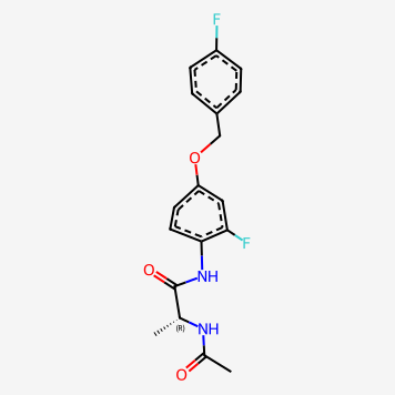 CC(=O)N[C@H](C)C(=O)Nc1ccc(OCc2ccc(F)cc2)cc1F